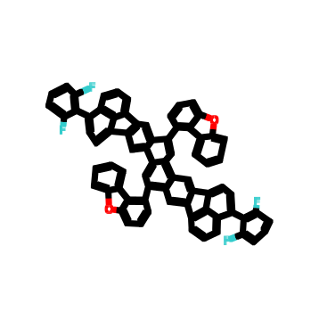 Fc1cccc(F)c1-c1ccc2c3c(cccc13)-c1cc3c(-c4cccc5oc6ccccc6c45)cc4c5cc6c(cc5c(-c5cccc7oc8ccccc8c57)cc4c3cc1-2)-c1cccc2c(-c3c(F)cccc3F)ccc-6c12